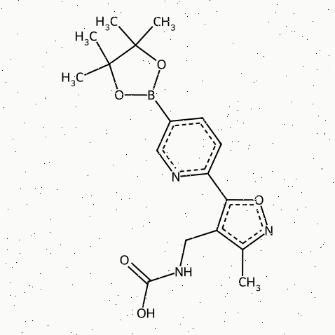 Cc1noc(-c2ccc(B3OC(C)(C)C(C)(C)O3)cn2)c1CNC(=O)O